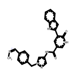 C/N=C\c1ccc(Cn2cc(NC(=O)c3c[nH]c(=O)c(-c4cc5ccccc5[nH]4)c3)cn2)cc1